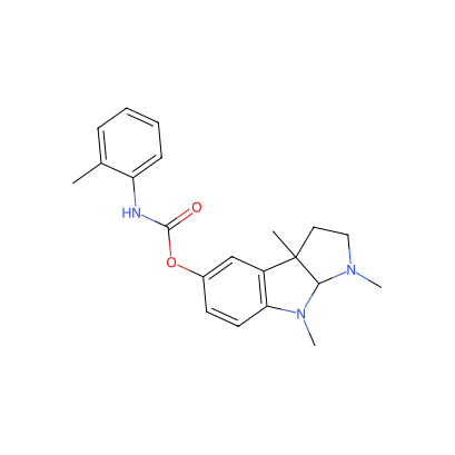 Cc1ccccc1NC(=O)Oc1ccc2c(c1)C1(C)CCN(C)C1N2C